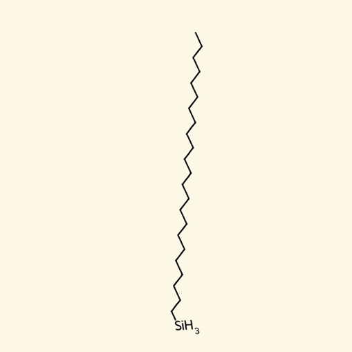 CCCCCCCCCCCCCCCCCCCCCCC[SiH3]